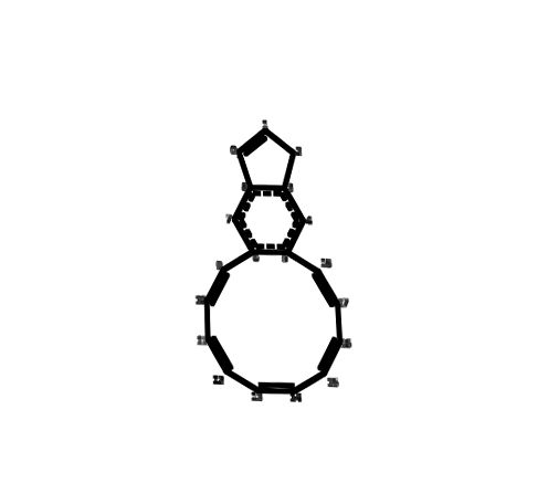 [C]1=CCc2cc3c(cc21)\C=C/C=C\C=C/C=C\C=C/3